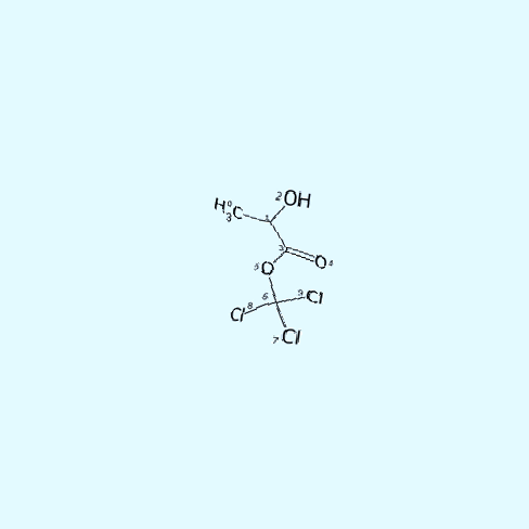 CC(O)C(=O)OC(Cl)(Cl)Cl